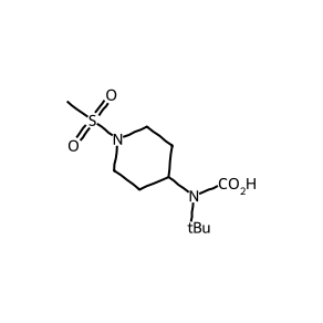 CC(C)(C)N(C(=O)O)C1CCN(S(C)(=O)=O)CC1